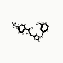 O=C(Nc1cn(Cc2cccc(Cl)c2)cn1)c1ccc(OC(F)(F)F)cc1